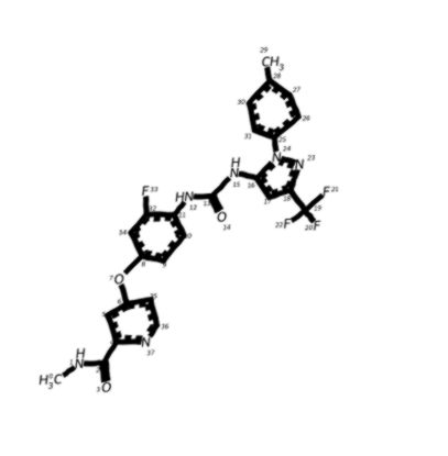 CNC(=O)c1cc(Oc2ccc(NC(=O)Nc3cc(C(F)(F)F)nn3-c3ccc(C)cc3)c(F)c2)ccn1